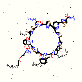 COCCOCCCNC(=O)O[C@H](c1ccccc1)[C@@H]1NC(=O)c2nc(sc2C)[C@H](CC(N)=O)NC(=O)c2csc(n2)-c2ccc(-c3nc(C(N)=O)cs3)nc2-c2csc(n2)-c2csc(n2)[C@@H]2[C@@H](C)[C@@H](OC(C)=O)CN2C(=O)[C@H](Cc2ccc(OC)cc2)NC(=O)c2csc1n2